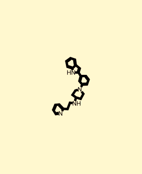 c1ccc(CCNC2CCN(c3cccc(-c4cc5ccccc5[nH]4)c3)CC2)nc1